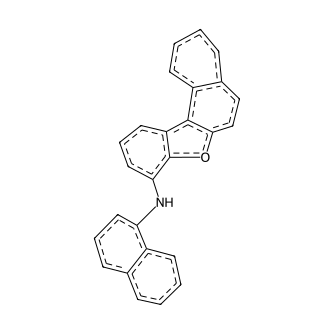 c1ccc2c(Nc3cccc4c3oc3ccc5ccccc5c34)cccc2c1